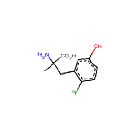 CC(N)(Cc1cc(O)ccc1[18F])C(=O)O